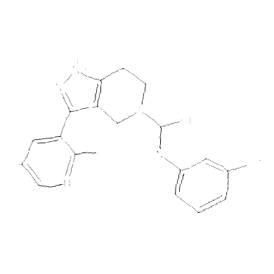 OC(Nc1cccc(Cl)c1)N1CCc2[nH]nc(-c3cccnc3F)c2C1